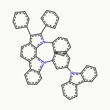 c1ccc(-c2c(-c3ccccc3)n(-c3ccccc3)c3c2ccc2c4ccccc4n(-c4cccc(-n5c6ccccc6c6ccccc65)c4)c23)cc1